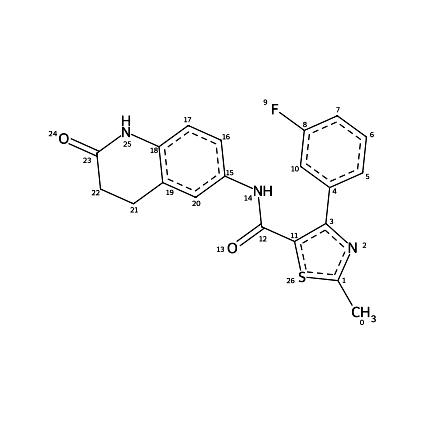 Cc1nc(-c2cccc(F)c2)c(C(=O)Nc2ccc3c(c2)CCC(=O)N3)s1